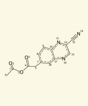 CC(=O)OC(=O)Cc1ccc2nc(C#N)cnc2c1